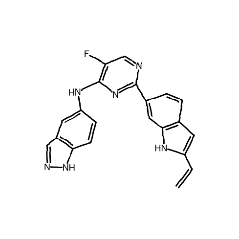 C=Cc1cc2ccc(-c3ncc(F)c(Nc4ccc5[nH]ncc5c4)n3)cc2[nH]1